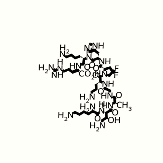 C[C@H](NC(=O)[C@@H](NC(=O)[C@@H](N)CCCCN)[C@@H](O)CN)C(=O)NCC(=O)N[C@H](CCCN)C(=O)N1CC(F)(F)C[C@H]1C(=O)N[C@@H](Cc1cnc[nH]1)C(=O)N[C@@H](CCCCN)C(=O)N/C(=C\CCNC(=N)N)C(=O)O